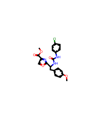 COC(=O)c1coc(C(Cc2ccc(OC)cc2)NC(=O)Nc2ccc(Cl)cc2)n1